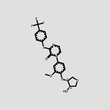 COc1cc(-n2ccnc(Sc3ccc(C(F)(F)F)cc3)c2=O)ccc1O[C@H]1COC[C@H]1O